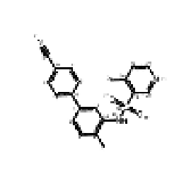 Cc1ccc(-c2ccc(C#N)cc2)cc1NS(=O)(=O)c1cnccc1C